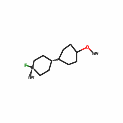 CCCOC1CCC([C@H]2CC[Si@](F)(CCC)CC2)CC1